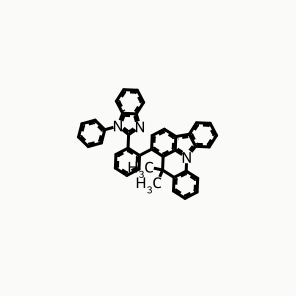 CC1(C)c2ccccc2-n2c3ccccc3c3ccc(-c4ccccc4-c4nc5ccccc5n4-c4ccccc4)c1c32